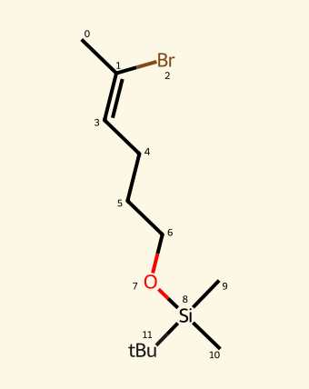 CC(Br)=CCCCO[Si](C)(C)C(C)(C)C